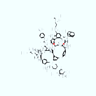 CN[C@H](CC(C)C)C(=O)N[C@H]1C(=O)N[C@@H](CC(=O)NC(=O)Nc2ccc(OC)cc2)C(=O)N[C@H]2C(=O)N[C@H]3C(=O)N[C@H](C(=O)N[C@H](C(=O)NC4C5CC6CC(C5)CC4C6)c4cc(O)c(CNCCCNC(C)=O)c(O)c4-c4cc3ccc4O)[C@H](O)c3ccc(c(Cl)c3)Oc3cc2cc(c3O[C@@H]2O[C@H](CO)[C@@H](O)[C@H](O)[C@H]2O[C@H]2C[C@](C)(N)[C@H](O)[C@H](C)O2)Oc2ccc(cc2C)[C@H]1O